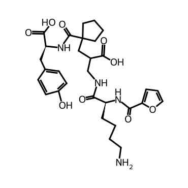 NCCCC[C@H](NC(=O)c1ccco1)C(=O)NCC(CC1(C(=O)N[C@@H](Cc2ccc(O)cc2)C(=O)O)CCCC1)C(=O)O